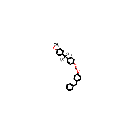 COc1ccc(C(C)(C)c2ccc(OCOc3ccc(Cc4ccccc4)cc3)cc2)cc1